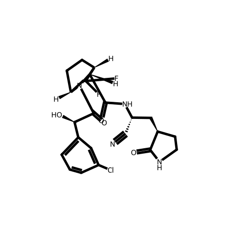 N#C[C@@H](C[C@H]1CCNC1=O)NC(=O)[C@H]1[C@H]2CC[C@H](CC2(F)F)N1C(=O)[C@H](O)c1cccc(Cl)c1